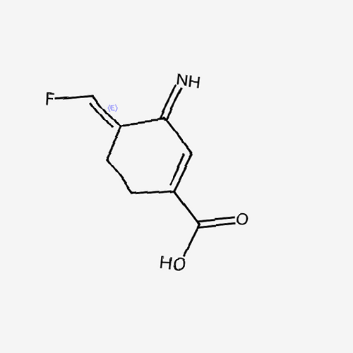 N=C1C=C(C(=O)O)CC/C1=C\F